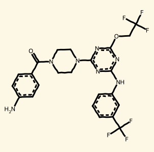 Nc1ccc(C(=O)N2CCN(c3nc(Nc4cccc(C(F)(F)F)c4)nc(OCC(F)(F)F)n3)CC2)cc1